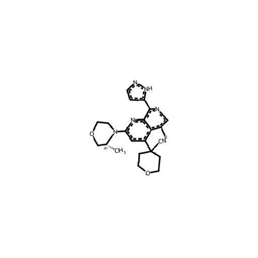 C[C@@H]1COCCN1c1cc(C2(C#N)CCOCC2)c2c(F)cnc(-c3ccn[nH]3)c2n1